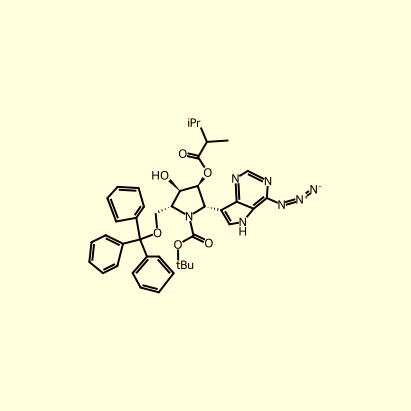 CC(C)C(C)C(=O)O[C@@H]1[C@H](O)[C@@H](COC(c2ccccc2)(c2ccccc2)c2ccccc2)N(C(=O)OC(C)(C)C)[C@H]1c1c[nH]c2c(N=[N+]=[N-])ncnc12